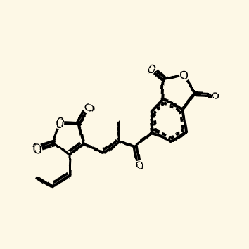 C/C=C\C1=C(/C=C(\C)C(=O)c2ccc3c(c2)C(=O)OC3=O)C(=O)OC1=O